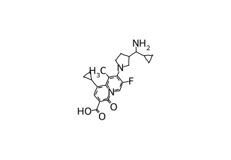 Cc1c(N2CCC(C(N)C3CC3)C2)c(F)cn2c(=O)c(C(=O)O)cc(C3CC3)c12